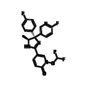 C[C@@H]1NC(c2ccc(=O)n(OC(F)F)c2)=N[C@]1(c1ccc(F)cc1)c1ccc(F)nc1